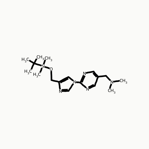 CN(C)Cc1cnc(-n2cnc(CO[Si](C)(C)C(C)(C)C)c2)nc1